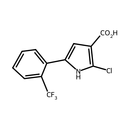 O=C(O)c1cc(-c2ccccc2C(F)(F)F)[nH]c1Cl